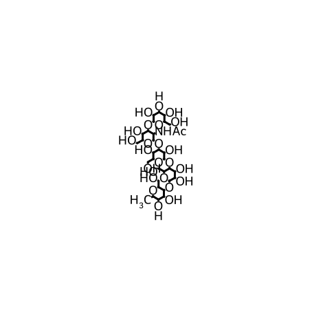 CC(=O)NC1C(OC2C(O)C(CO)OC(OC3C(CO)OC(OC4C(CO)OC(C)C(O)C4O)C(O)C3O)C2O)OC(CO)C(O)C1OC1OC(CO)C(O)C(O)C1O